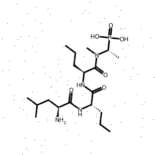 CCC[C@H](NC(=O)[C@@H](N)CC(C)C)C(=O)N[C@@H](CCC)C(=O)N(C)[C@@H](C)P(=O)(O)O